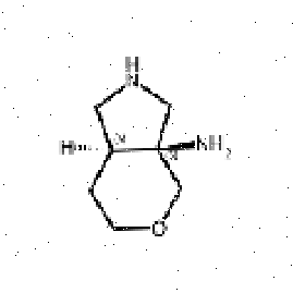 N[C@]12CNC[C@@H]1CCOC2